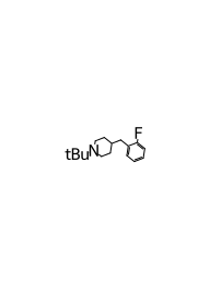 CC(C)(C)N1CCC(Cc2ccccc2F)CC1